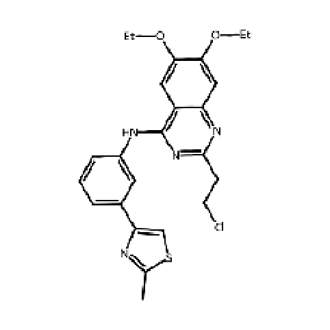 CCOc1cc2nc(CCCl)nc(Nc3cccc(-c4csc(C)n4)c3)c2cc1OCC